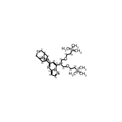 BN1C2CSCC1CC(c1cc(N(COCC[Si](C)(C)C)COCC[Si](C)(C)C)n3nccc3n1)C2